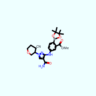 COC(=O)c1cc(Nc2nn(C3COCC[C@@H]3C#N)cc2C(N)=O)ccc1B1OC(C)(C)C(C)(C)O1